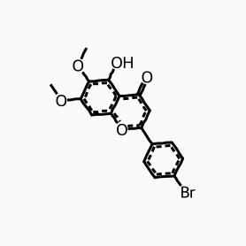 COc1cc2oc(-c3ccc(Br)cc3)cc(=O)c2c(O)c1OC